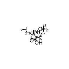 CCCCC[C@H](NC(=O)OC(C)(C)C)[C@@H](C)C(=O)O